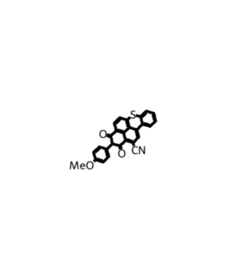 COc1ccc(C2C(=O)c3ccc4c5c(cc(C#N)c(c35)C2=O)-c2ccccc2S4)cc1